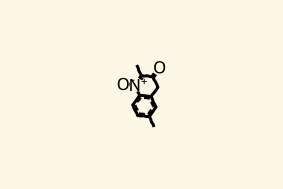 CC1=[N+]([O-])c2ccc(C)cc2CC1=O